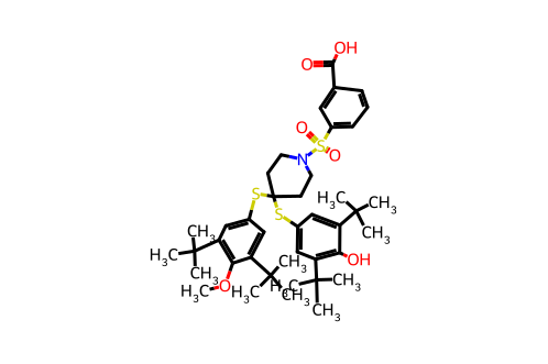 COc1c(C(C)(C)C)cc(SC2(Sc3cc(C(C)(C)C)c(O)c(C(C)(C)C)c3)CCN(S(=O)(=O)c3cccc(C(=O)O)c3)CC2)cc1C(C)(C)C